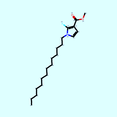 CCCCCCCCCCCCCCn1ccc(C(=O)OC)c1F